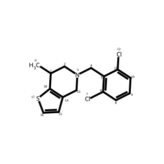 CC1CN(Cc2c(Cl)cccc2Cl)Cc2ccsc21